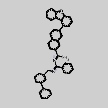 N/C(=N\C(=N/Cc1cccc(-c2ccccc2)c1)c1ccccc1)c1ccc2ccc(-c3cccc4oc5ccccc5c34)cc2c1